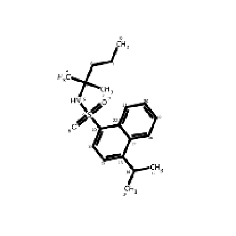 CCCC(C)(C)NS(=O)(=O)c1ccc(C(C)C)c2ccccc12